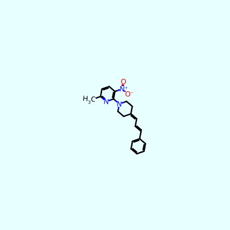 Cc1ccc([N+](=O)[O-])c(N2CCC(=C/C=C/c3ccccc3)CC2)n1